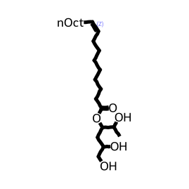 CCCCCCCC/C=C\CCCCCCCC(=O)OC(CC(O)CO)C(C)O